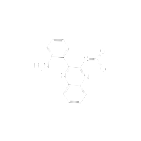 Nc1ccccc1-c1nc2ccccc2nc1N=S(=O)=O